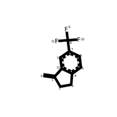 C=C1CCc2ccc(C(F)(F)F)cc21